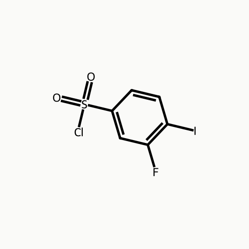 O=S(=O)(Cl)c1ccc(I)c(F)c1